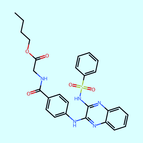 CCCCOC(=O)CNC(=O)c1ccc(Nc2nc3ccccc3nc2NS(=O)(=O)c2ccccc2)cc1